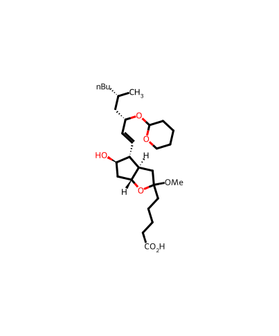 CCCC[C@H](C)C[C@@H](/C=C/[C@@H]1[C@H]2CC(CCCCC(=O)O)(OC)O[C@@H]2C[C@H]1O)OC1CCCCO1